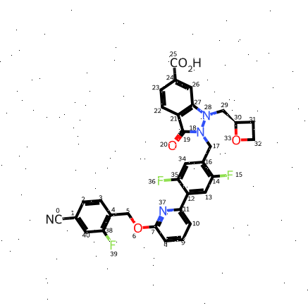 N#Cc1ccc(COc2cccc(-c3cc(F)c(Cn4c(=O)c5ccc(C(=O)O)cc5n4C[C@H]4CCO4)cc3F)n2)c(F)c1